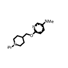 CNc1ccc(OCC2CCN(C(C)C)CC2)nc1